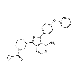 Nc1nccc2c([C@@H]3CCCN(C(=O)C4CC4)C3)nn(-c3ccc(Oc4ccccc4)cc3)c12